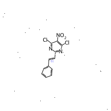 O=[N+]([O-])c1c(Cl)nc(/C=C/c2ccccc2)nc1Cl